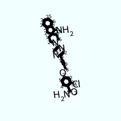 NC(=O)c1ccc(OCC#Cc2cnc(N3CCC4(CC3)Cc3ccccc3[C@H]4N)cn2)cc1Cl